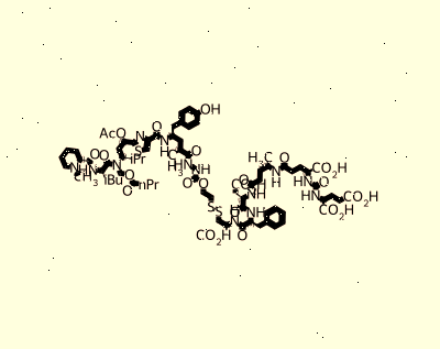 CCCC(=O)OCN(C(=O)[C@@H](NC(=O)[C@H]1CCCCN1C)C(C)CC)[C@H](C[C@@H](OC(C)=O)c1nc(C(=O)N[C@@H](Cc2ccc(O)cc2)C[C@H](C)C(=O)NNC(=O)OCCSSC[C@H](NC(=O)[C@H](Cc2ccccc2)NC(=O)[C@H](CC(=O)O)NC(=O)CC[C@@H](C)NC(=O)CC[C@H](NC(=O)N[C@@H](CCC(=O)O)C(=O)O)C(=O)O)C(=O)O)cs1)C(C)C